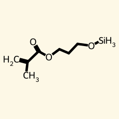 C=C(C)C(=O)OCCCO[SiH3]